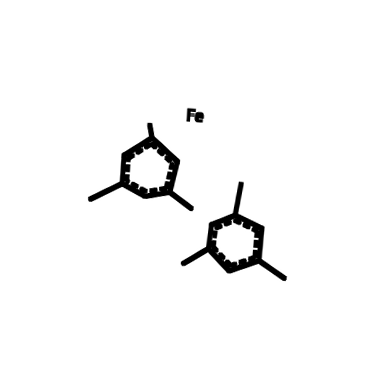 Cc1cc(C)cc(C)c1.Cc1cc(C)cc(C)c1.[Fe]